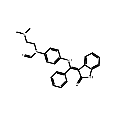 CN(C)CCN(C=O)c1ccc(NC(=C2C(=O)Nc3ccccc32)c2ccccc2)cc1